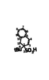 CC(C)(C)C1(S(=O)(=O)O)C=Cc2ccccc2C1